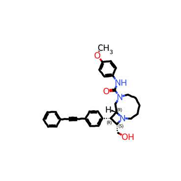 COc1ccc(NC(=O)N2CCCCCN3[C@H](CO)[C@H](c4ccc(C#Cc5ccccc5)cc4)[C@@H]3C2)cc1